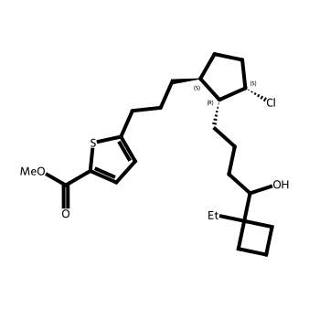 CCC1(C(O)CCC[C@@H]2[C@@H](CCCc3ccc(C(=O)OC)s3)CC[C@@H]2Cl)CCC1